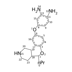 CCCC(Oc1ccc(Oc2ccc(N)c(N)c2)cc1)C1CCNCC1